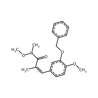 COc1ccc(/C=C(/C)C(=O)N(C)OC)cc1OCc1ccccc1